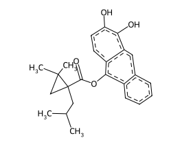 CC(C)CC1(C(=O)Oc2c3ccccc3cc3c(O)c(O)ccc23)CC1(C)C